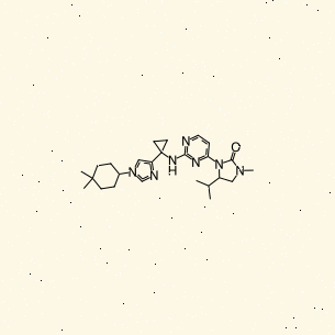 CC(C)C1CN(C)C(=O)N1c1ccnc(NC2(c3cn(C4CCC(C)(C)CC4)cn3)CC2)n1